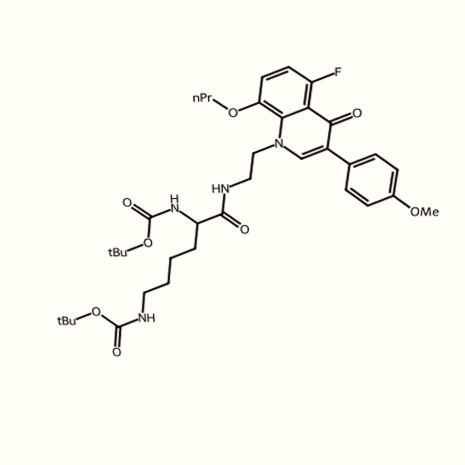 CCCOc1ccc(F)c2c(=O)c(-c3ccc(OC)cc3)cn(CCNC(=O)C(CCCCNC(=O)OC(C)(C)C)NC(=O)OC(C)(C)C)c12